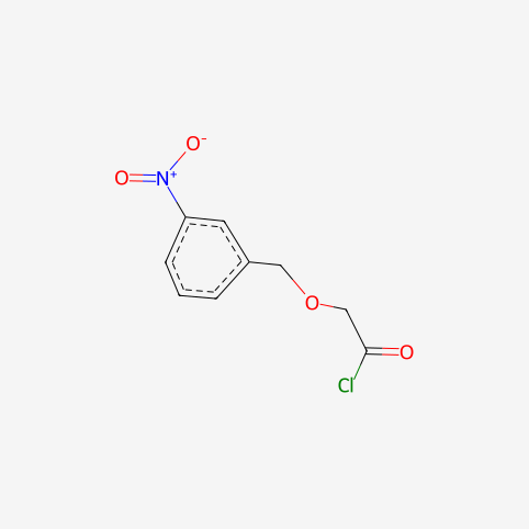 O=C(Cl)COCc1cccc([N+](=O)[O-])c1